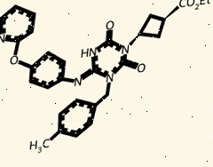 CCOC(=O)[C@H]1C[C@@H](n2c(=O)[nH]/c(=N\c3ccc(Oc4ccccn4)cc3)n(Cc3ccc(C)cc3)c2=O)C1